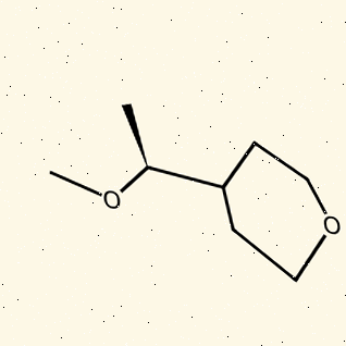 CO[C@@H](C)C1CCOCC1